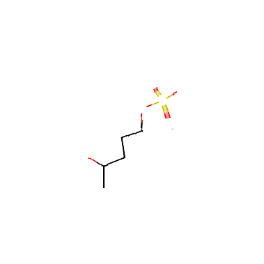 CC(O)CCCOS(=O)(=O)O